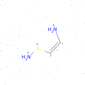 N/C=C\SN